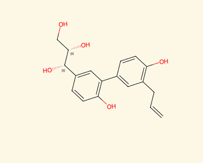 C=CCc1cc(-c2cc([C@H](O)[C@@H](O)CO)ccc2O)ccc1O